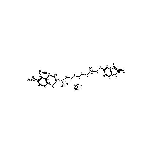 CCCN(CCCCCCNCCc1ccc2sc(=O)[nH]c2c1)[C@H]1CCc2c(ccc(OC)c2OC)C1.Cl.Cl